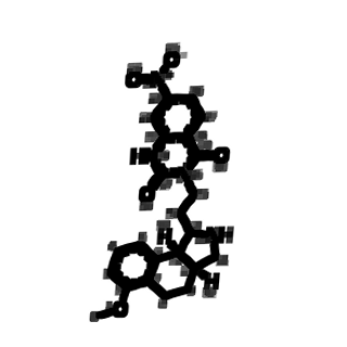 COc1cccc2c1CC[C@H]1CNC(CCn3c(=O)[nH]c4cc([N+](=O)[O-])ccc4c3=O)[C@@H]21